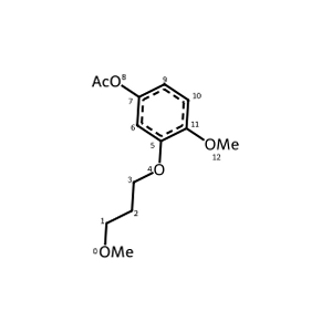 COCCCOc1cc(OC(C)=O)ccc1OC